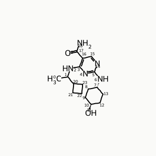 CC(Nc1nc(N[C@H]2CC[C@H](O)CC2)ncc1C(N)=O)C1CCC1